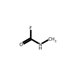 CNC(=O)F